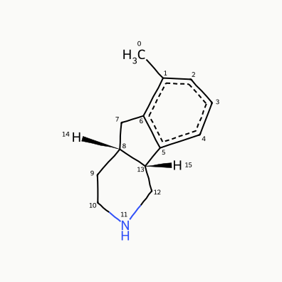 Cc1cccc2c1C[C@H]1CCNC[C@@H]21